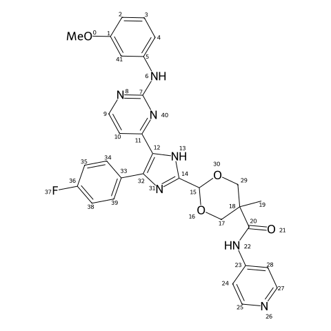 COc1cccc(Nc2nccc(-c3[nH]c(C4OCC(C)(C(=O)Nc5ccncc5)CO4)nc3-c3ccc(F)cc3)n2)c1